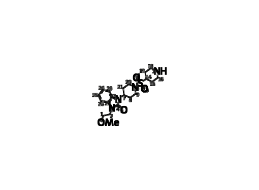 COCCn1c(=O)n(C2CCN(S(=O)(=O)C3CCNCC3)CC2)c2ccccc21